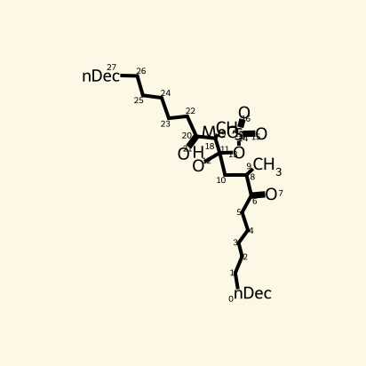 CCCCCCCCCCCCCCCC(=O)C(C)CC(O)(OS(=O)(=O)OC)C(C)C(=O)CCCCCCCCCCCCCCC